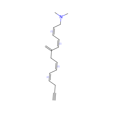 C#CC/C=C\C=C/CC(=C)/C=C\C=C/CN(C)C